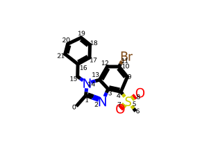 Cc1nc2c(S(C)(=O)=O)cc(Br)cc2n1Cc1ccccc1